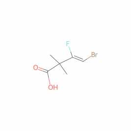 CC(C)(C(=O)O)C(F)=CBr